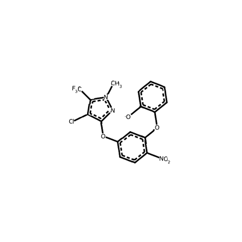 Cn1nc(Oc2ccc([N+](=O)[O-])c(Oc3ccccc3[O])c2)c(Cl)c1C(F)(F)F